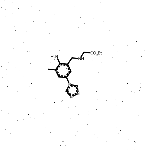 CCOC(=O)CNCc1cc(-n2cnnc2)cc(C)c1N